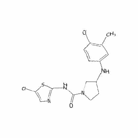 Cc1cc(NC2CCN(C(=O)Nc3ncc(Cl)s3)C2)ccc1Cl